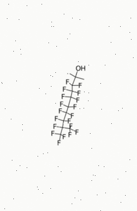 [CH2]C(C)(O)C(F)(F)C(F)(F)C(F)(F)C(F)(F)C(F)(F)C(F)(F)C(F)(C(F)(F)F)C(F)(F)F